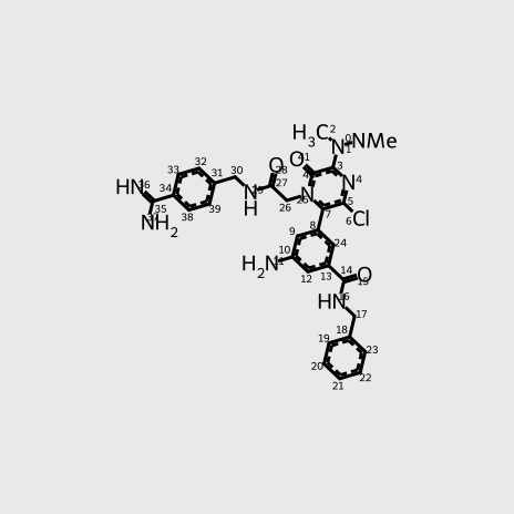 CNN(C)c1nc(Cl)c(-c2cc(N)cc(C(=O)NCc3ccccc3)c2)n(CC(=O)NCc2ccc(C(=N)N)cc2)c1=O